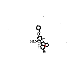 O=C(C1CCCC1)C(O)(c1ccc(Br)cc1)c1ccc(OCc2ccccc2)cc1CO